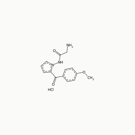 COc1ccc(C(=O)c2cccn2NC(=O)CN)cc1.Cl